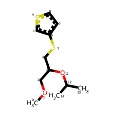 COCC(CSc1ccsc1)OC(C)C